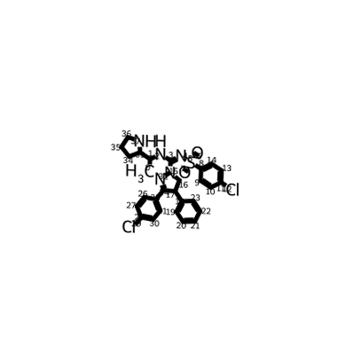 CC(NC(=NS(=O)(=O)c1ccc(Cl)cc1)N1CC(c2ccccc2)C(c2ccc(Cl)cc2)=N1)C1CCCN1